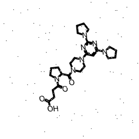 O=C(O)CCC(=O)N1CCCC1C(=O)N1CCN(c2cc(N3CCCC3)nc(N3CCCC3)n2)CC1